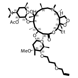 C=CCOCCCO[C@H]1[C@H](C)O[C@@H](O[C@H]2[C@H](C)[C@@H](O[C@@H]3O[C@H](C)C[C@H](N(C)C)[C@H]3OC(C)=O)[C@](C)(O)C[C@@H](C)CN(C)[C@H](C)[C@H]3COO[C@]3(C)[C@@H](CC)OC(=O)[C@@H]2C)C[C@@]1(C)OC